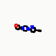 C#Cc1ccc(N2CCN([C@H]3CCOC3)CC2)nc1